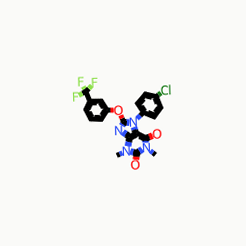 Cn1c(=O)c2c(nc(Oc3cccc(C(F)(F)F)c3)n2-c2ccc(Cl)cc2)n(C)c1=O